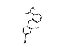 N#Cc1ccc(Cc2ccccc2C(N)=O)c(O)c1